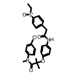 CC[S+]([O-])c1ccc(CC(=O)Nc2ccc(OC(C)(C)C(=O)N(C)c3ccc(Cl)cc3)cc2)cc1